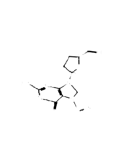 N#CBN1CN([C@H]2CC[C@@H](CO)O2)c2nc(N)[nH]c(=O)c21